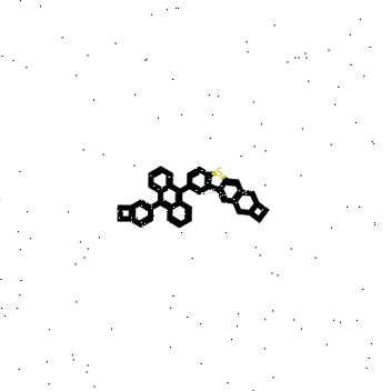 c1ccc2c(-c3ccc4sc5cc6c(cc5c4c3)CC3CCC3C6)c3ccccc3c(-c3ccc4c(c3)CC4)c2c1